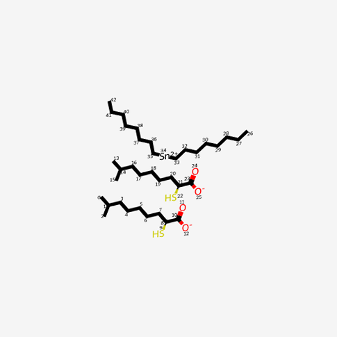 CC(C)CCCCC[C@H](S)C(=O)[O-].CC(C)CCCCC[C@H](S)C(=O)[O-].CCCCCCC[CH2][Sn+2][CH2]CCCCCCC